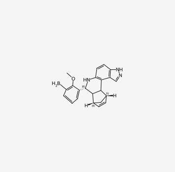 Bc1cccc([C@@H]2Nc3ccc4[nH]ncc4c3C3C2[C@H]2C=C[C@@H]3C2)c1OC